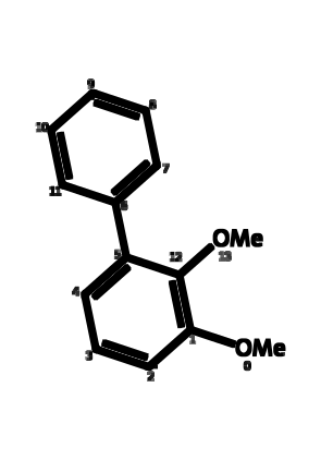 COc1[c]ccc(-c2cc[c]cc2)c1OC